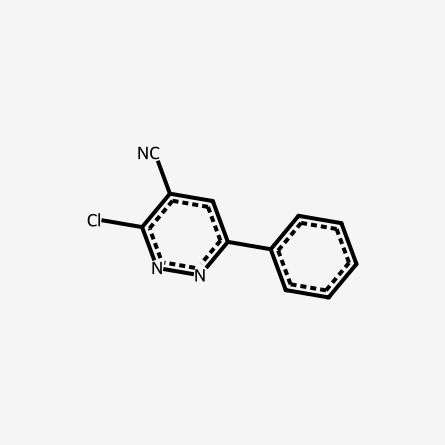 N#Cc1cc(-c2ccccc2)nnc1Cl